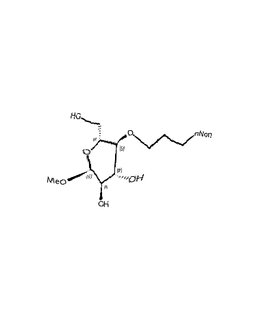 CCCCCCCCCCCCO[C@H]1[C@H](O)[C@@H](O)[C@@H](OC)O[C@@H]1CO